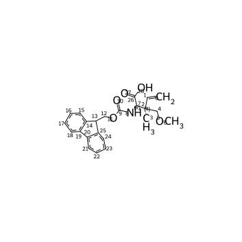 C=C[C@@](C)(COC)[C@@H](NC(=O)OCC1c2ccccc2-c2ccccc21)C(=O)O